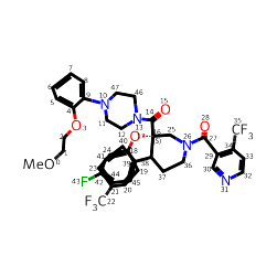 COCCOc1ccccc1N1CCN(C(=O)[C@@]2(Oc3ccc(C(F)(F)F)cc3)CN(C(=O)c3cnccc3C(F)(F)F)CCC2c2ccc(F)cc2)CC1